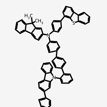 CC1(C)c2ccccc2-c2ccc(N(c3ccc(-c4ccc(-c5ccccc5-n5c6ccccc6c6ccc(-c7ccccc7)cc65)cc4)cc3)c3ccc(-c4cccc5c4sc4ccccc45)cc3)cc21